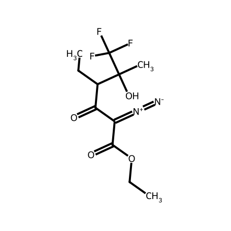 CCOC(=O)C(=[N+]=[N-])C(=O)C(CC)C(C)(O)C(F)(F)F